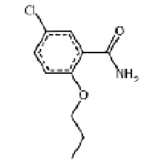 CCCOc1ccc(Cl)cc1C(N)=O